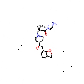 C=C(CN1CCC(C(=O)Cc2cccc3c2OCC3)CC1)C(=O)N/C=C\N